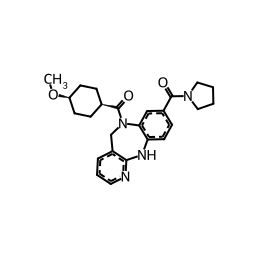 CO[C@H]1CC[C@@H](C(=O)N2Cc3cccnc3Nc3ccc(C(=O)N4CCCC4)cc32)CC1